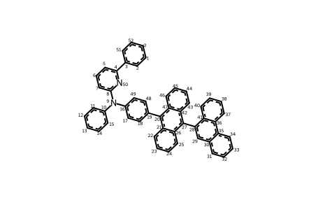 c1ccc(-c2cccc(N(c3ccccc3)c3ccc(-c4c5ccccc5c(-c5cc6ccccc6c6ccccc56)c5ccccc45)cc3)n2)cc1